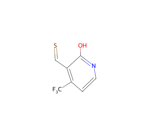 Oc1nccc(C(F)(F)F)c1C=S